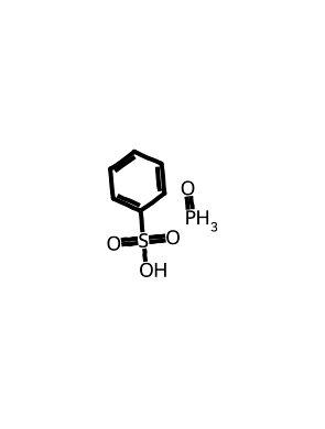 O=S(=O)(O)c1ccccc1.O=[PH3]